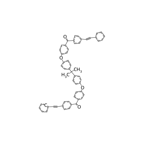 CC(C)(c1ccc(Oc2ccc(C(=O)c3ccc(C#Cc4ccccc4)cc3)cc2)cc1)c1ccc(Oc2ccc(C(=O)c3ccc(C#Cc4ccccc4)cc3)cc2)cc1